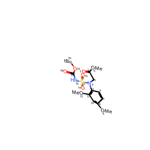 COC(=O)CN(c1ccc(OC)cc1OC)S(=O)(=O)NC(=O)OC(C)(C)C